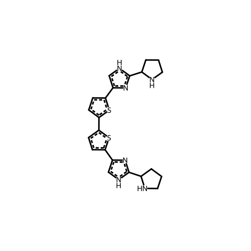 c1[nH]c(C2CCCN2)nc1-c1ccc(-c2ccc(-c3c[nH]c(C4CCCN4)n3)s2)s1